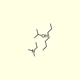 CC(C)O.CCCCCCC.CCN(C)C